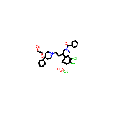 CN(CC(CCN1CCC(OCCO)(c2ccccc2)CC1)c1ccc(Cl)c(Cl)c1)C(=O)c1ccccc1.Cl.O